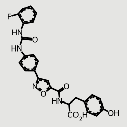 O=C(Nc1ccc(-c2cc(C(=O)NC(Cc3ccc(O)cc3)C(=O)O)on2)cc1)Nc1ccccc1F